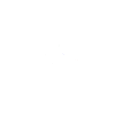 CCOC(=O)c1cn([C@@H](C)C(F)(F)F)c2c(OC)c(F)c(F)cc2c1=O